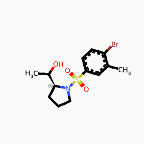 Cc1cc(S(=O)(=O)N2CCC[C@H]2C(C)O)ccc1Br